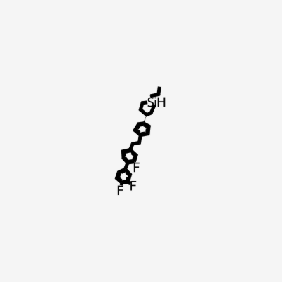 CCC[Si@H]1CC[C@H](c2ccc(CCc3ccc(-c4ccc(F)c(F)c4)c(F)c3)cc2)CC1